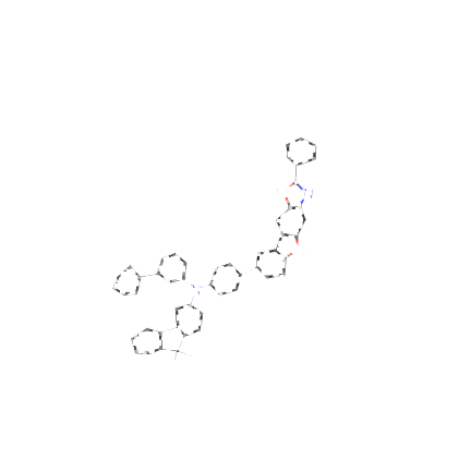 CC1(C)c2ccccc2-c2cc(N(c3ccc(-c4ccc5oc6cc7nc(-c8ccccc8)oc7cc6c5c4)cc3)c3cccc(-c4ccccc4)c3)ccc21